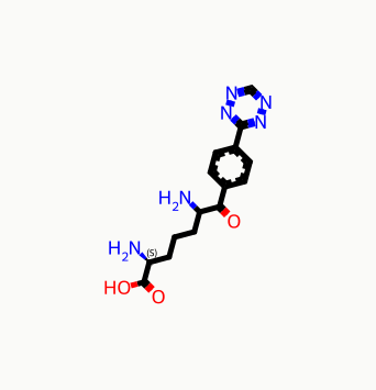 NC(CCC[C@H](N)C(=O)O)C(=O)c1ccc(-c2nncnn2)cc1